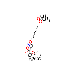 C=C(C)C(=O)OCCCCCCCCCCCCOc1ccc2cc(-c3ccc(CCCCC)cc3OC(F)(F)F)c(=O)oc2n1